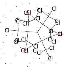 ClC(Cl)(Cl)C([C](C(C(Cl)(Cl)Cl)(C(Cl)(Cl)Cl)C(Cl)(Cl)Cl)C(C(Cl)(Cl)Cl)(C(Cl)(Cl)Cl)C(Cl)(Cl)Cl)(C(Cl)(Cl)Cl)C(Cl)(Cl)Cl